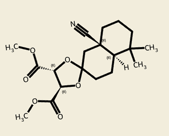 COC(=O)[C@@H]1OC2(CC[C@@H]3C(C)(C)CCC[C@@]3(C#N)C2)O[C@H]1C(=O)OC